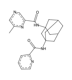 Cc1cncc(C(=O)NC23CC4CC(CC(NC(=O)c5ccccn5)(C4)C2)C3)n1